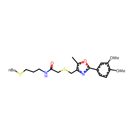 CCCCSCCCNC(=O)CSCc1nc(-c2ccc(OC)c(OC)c2)oc1C